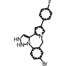 Fc1ccc(-c2cc3n(c2)Cc2cc(Br)ccc2N2NNC=C32)cc1